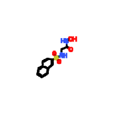 O=C(CNS(=O)(=O)c1ccc2ccccc2c1)NO